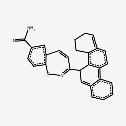 NC(=O)c1ccc2c(c1)C=CC(C1C=c3ccccc3=c3ccc4c(c31)CCCC=4)=NS2